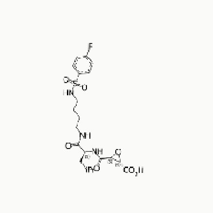 CC(C)C[C@H](NC(=O)[C@H]1O[C@@H]1C(=O)O)C(=O)NCCCCNS(=O)(=O)c1ccc(F)cc1